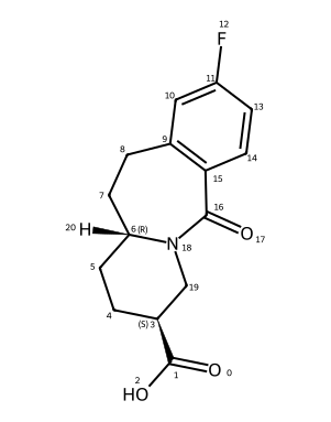 O=C(O)[C@H]1CC[C@@H]2CCc3cc(F)ccc3C(=O)N2C1